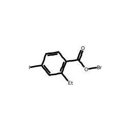 CCc1cc(I)ccc1C(=O)OBr